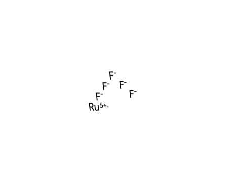 [F-].[F-].[F-].[F-].[F-].[Ru+5]